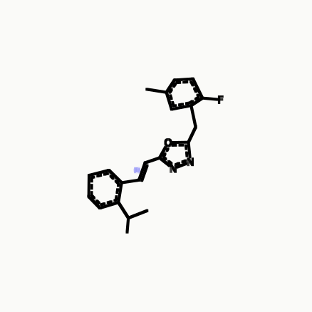 Cc1ccc(F)c(Cc2nnc(/C=C/c3ccccc3C(C)C)o2)c1